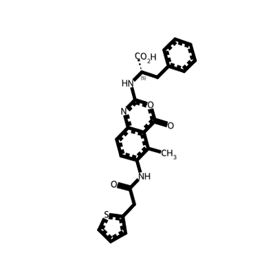 Cc1c(NC(=O)Cc2cccs2)ccc2nc(N[C@@H](Cc3ccccc3)C(=O)O)oc(=O)c12